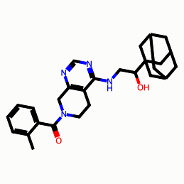 Cc1ccccc1C(=O)N1CCc2c(ncnc2NCC(O)C23CC4CC(CC(C4)C2)C3)C1